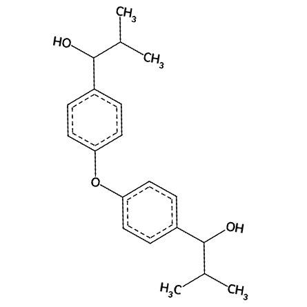 CC(C)C(O)c1ccc(Oc2ccc(C(O)C(C)C)cc2)cc1